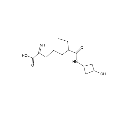 CCC(CCCC(=N)C(=O)O)C(=O)NC1CC(O)C1